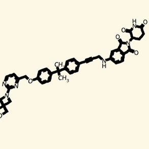 CC(C)(c1ccc(C#CCNc2ccc3c(c2)C(=O)N(C2CCC(=O)NC2=O)C3=O)cc1)c1ccc(OCc2ccnc(N3CC4(COC4)C3)n2)cc1